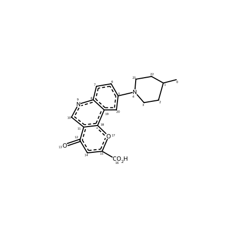 CC1CCN(c2ccc3ncc4c(=O)cc(C(=O)O)oc4c3c2)CC1